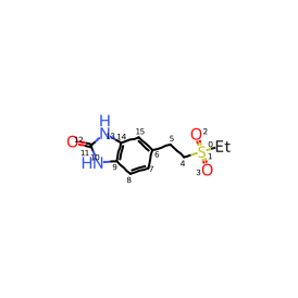 CCS(=O)(=O)CCc1ccc2[nH]c(=O)[nH]c2c1